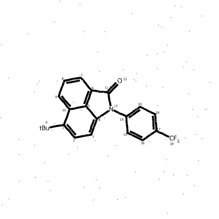 CC(C)(C)c1ccc2c3c(cccc13)C(=O)N2c1ccc(C(F)(F)F)cc1